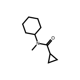 CN(C(=O)C1CC1)C1CCCCC1